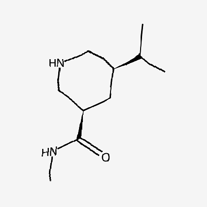 CNC(=O)[C@H]1CNC[C@@H](C(C)C)C1